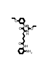 CCOC(=O)N[C@@H](CCCCC(=O)Nc1ccccc1N)C(=O)Nc1cccc(OCC)c1